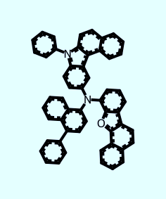 c1ccc(-c2ccc(N(c3ccc4c(c3)c3c5ccccc5ccc3n4-c3ccccc3)c3cccc4c3oc3c5ccccc5ccc43)c3ccccc23)cc1